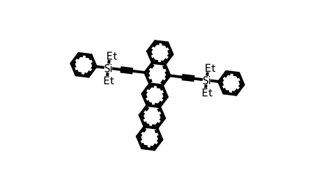 CC[Si](C#Cc1c2ccccc2c(C#C[Si](CC)(CC)c2ccccc2)c2cc3cc4ccccc4cc3cc12)(CC)c1ccccc1